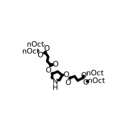 CCCCCCCCOC(CCC(=O)OC1CNCC(OC(=O)CCC(OCCCCCCCC)OCCCCCCCC)C1)OCCCCCCCC